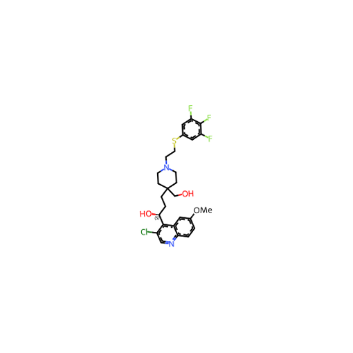 COc1ccc2ncc(Cl)c([C@@H](O)CCC3(CO)CCN(CCSc4cc(F)c(F)c(F)c4)CC3)c2c1